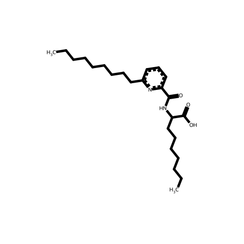 CCCCCCCCCc1cccc(C(=O)NC(CCCCCCC)C(=O)O)n1